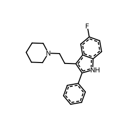 Fc1ccc2[nH]c(-c3ccccc3)c(CCN3CCCCC3)c2c1